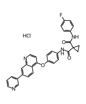 Cl.O=C(Nc1ccc(F)cc1)C1(C(=O)Nc2ccc(Oc3ccnc4cc(-c5cccnc5)ccc34)cc2)CC1